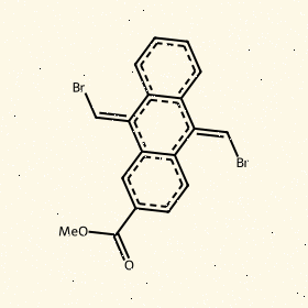 COC(=O)c1ccc2c(=CBr)c3ccccc3c(=CBr)c2c1